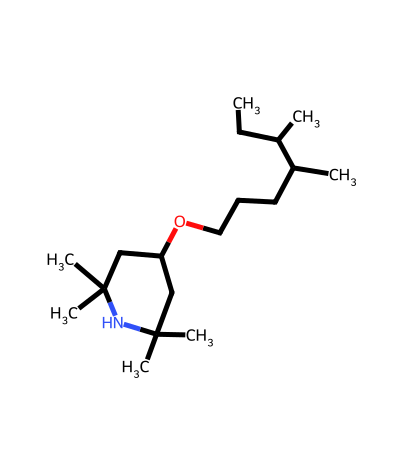 CCC(C)C(C)CCCOC1CC(C)(C)NC(C)(C)C1